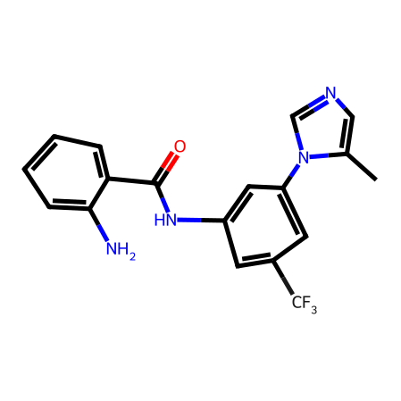 Cc1cncn1-c1cc(NC(=O)c2ccccc2N)cc(C(F)(F)F)c1